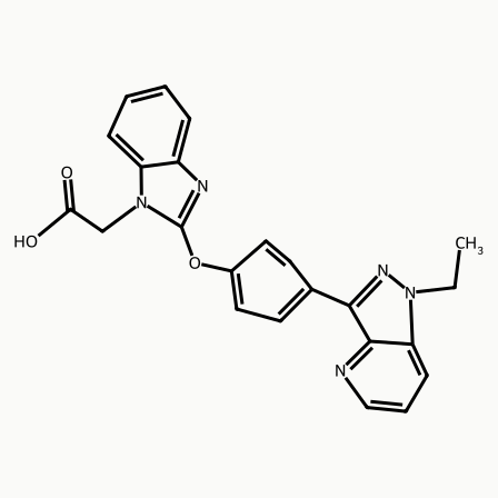 CCn1nc(-c2ccc(Oc3nc4ccccc4n3CC(=O)O)cc2)c2ncccc21